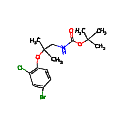 CC(C)(C)OC(=O)NCC(C)(C)Oc1ccc(Br)cc1Cl